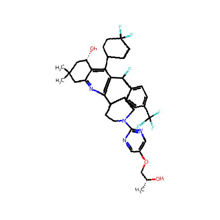 C[C@@H](O)COc1cnc(N2CCC(c3nc4c(c(C5CCC(F)(F)CC5)c3C(F)c3ccc(C(F)(F)F)cc3)[C@@H](O)CC(C)(C)C4)CC2)nc1